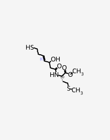 COC(=O)[C@H](CCSC)NC(=O)CC(O)/C=C/CCS